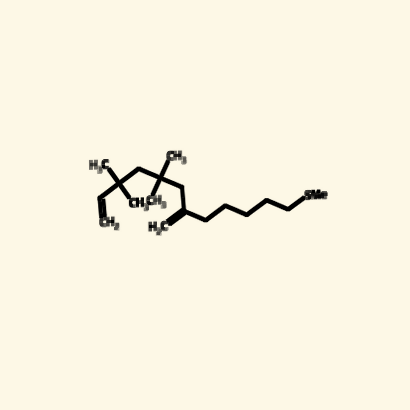 C=CC(C)(C)CC(C)(C)CC(=C)CCCCCSC